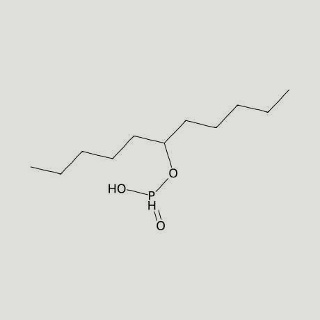 CCCCCC(CCCCC)O[PH](=O)O